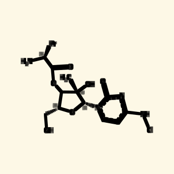 CC(C)[C@H](N)C(=O)OC1[C@@H](CO)O[C@@H](n2ccc(NCl)nc2=O)[C@@]1(C)O